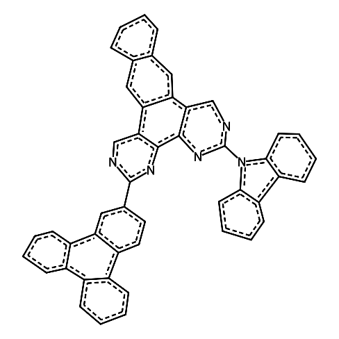 c1ccc2cc3c(cc2c1)c1cnc(-c2ccc4c5ccccc5c5ccccc5c4c2)nc1c1nc(-n2c4ccccc4c4ccccc42)ncc31